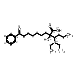 CCCC(N(CC)CC)C(O)(CCCCCCC(=O)c1ccccc1)C(=O)O